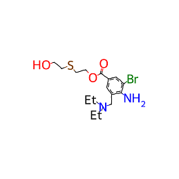 CCN(CC)Cc1cc(C(=O)OCCSCCO)cc(Br)c1N